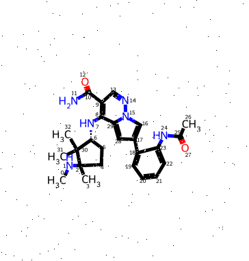 CNC1(C)CC[C@@H](Nc2c(C(N)=O)cnn3cc(-c4ccccc4NC(C)=O)cc23)C1(C)C